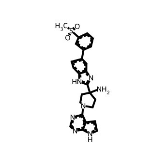 CS(=O)(=O)c1cccc(-c2ccc3[nH]c(C4(N)CCN(c5ncnc6[nH]ccc56)CC4)nc3c2)c1